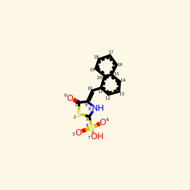 O=C1SC(S(=O)(=O)O)NC1=Cc1cccc2ccccc12